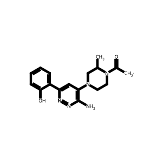 [CH2]C(=O)N1CCN(c2cc(-c3ccccc3O)nnc2N)CC1C